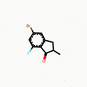 CC1Cc2cc(Br)cc(F)c2C1=O